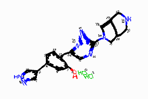 Cl.Cl.Oc1cc(-c2cn[nH]c2)ccc1-c1cnc(N2CC3CNCC3C2)nn1